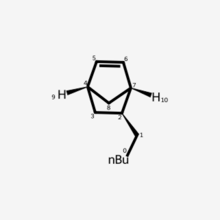 CCCCC[C@H]1C[C@@H]2C=C[C@H]1C2